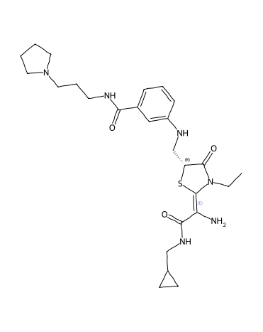 CCN1C(=O)[C@@H](CNc2cccc(C(=O)NCCCN3CCCC3)c2)S/C1=C(/N)C(=O)NCC1CC1